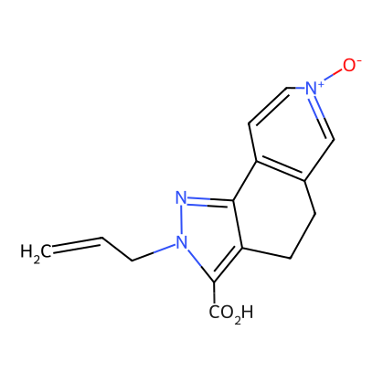 C=CCn1nc2c(c1C(=O)O)CCc1c[n+]([O-])ccc1-2